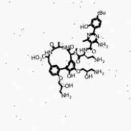 Cc1nc(-c2ccc(C(C)(C)C)cc2O)nc(N)c1C(=O)N[C@@H](CCN)C(=O)N(C)C1C(=O)NC(C)C(=O)NC(C(=O)O)Cc2ccc(OC[C@H](O)CN)c(c2)-c2cc1cc(OC[C@H](O)CN)c2O